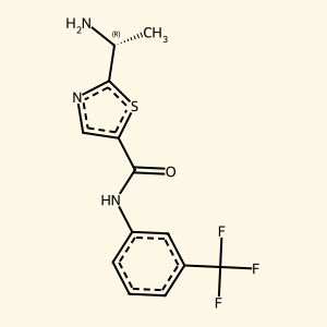 C[C@@H](N)c1ncc(C(=O)Nc2cccc(C(F)(F)F)c2)s1